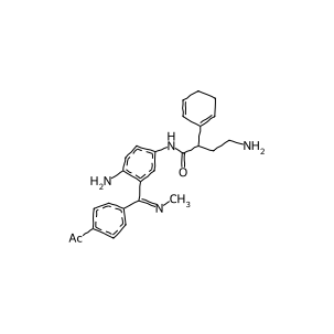 C/N=C(/c1ccc(C(C)=O)cc1)c1cc(NC(=O)C(CCN)C2=CCCC=C2)ccc1N